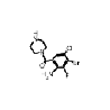 Nc1c(C(=O)N2CCNCC2)cc(Cl)c(Br)c1F